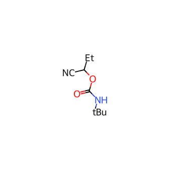 CCC(C#N)OC(=O)NC(C)(C)C